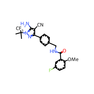 COc1ccc(F)cc1C(=O)NCc1ccc(-c2nn(C(C)(C)C(F)(F)F)c(N)c2C#N)cc1